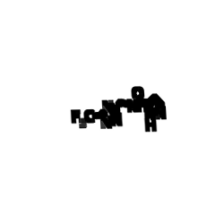 O=C(NCn1nnc(C(F)(F)F)n1)c1ccn[nH]1